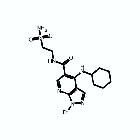 CCn1ncc2c(NC3CCCCC3)c(C(=O)NCCS(N)(=O)=O)cnc21